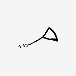 [SiH]C1CC1